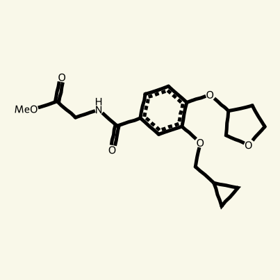 COC(=O)CNC(=O)c1ccc(OC2CCOC2)c(OCC2CC2)c1